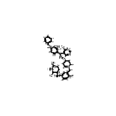 Nc1ncnc2c1c(-c1ccc(Oc3ccccc3)cc1)nn2C1CCN(Cc2cc(NC3CCC(=O)NC3=O)ccc2F)CC1